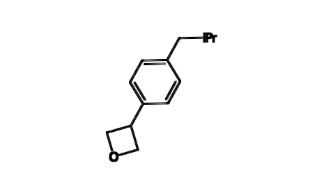 CC(C)Cc1ccc(C2COC2)cc1